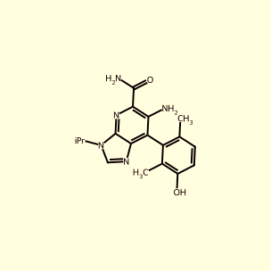 Cc1ccc(O)c(C)c1-c1c(N)c(C(N)=O)nc2c1ncn2C(C)C